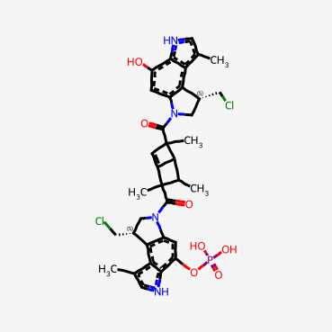 Cc1c[nH]c2c(O)cc3c(c12)[C@H](CCl)CN3C(=O)C1(C)C=C2C1C(C)C2(C)C(=O)N1C[C@@H](CCl)c2c1cc(OP(=O)(O)O)c1[nH]cc(C)c21